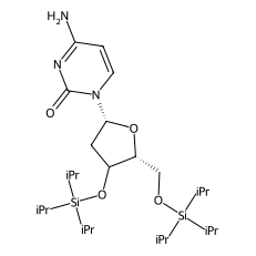 CC(C)[Si](OC[C@H]1O[C@@H](n2ccc(N)nc2=O)CC1O[Si](C(C)C)(C(C)C)C(C)C)(C(C)C)C(C)C